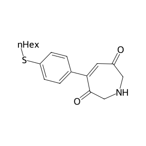 CCCCCCSc1ccc(C2=CC(=O)CNCC2=O)cc1